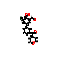 O=Cc1cc(-c2cccc(C(=O)C3CCOCC3)c2)cc(F)c1O